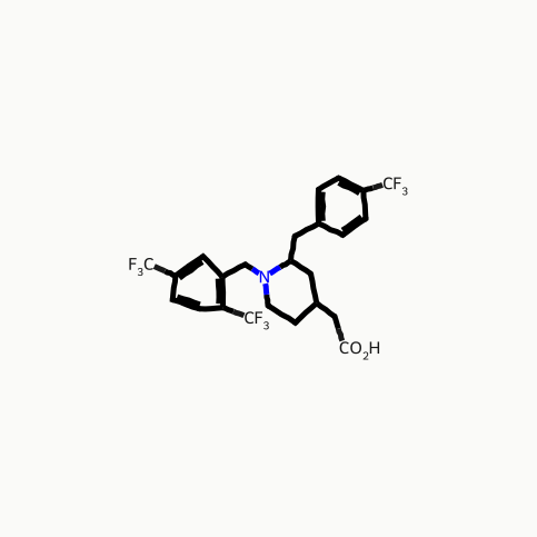 O=C(O)CC1CCN(Cc2cc(C(F)(F)F)ccc2C(F)(F)F)C(Cc2ccc(C(F)(F)F)cc2)C1